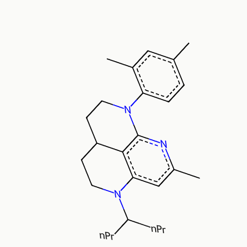 CCCC(CCC)N1CCC2CCN(c3ccc(C)cc3C)c3nc(C)cc1c32